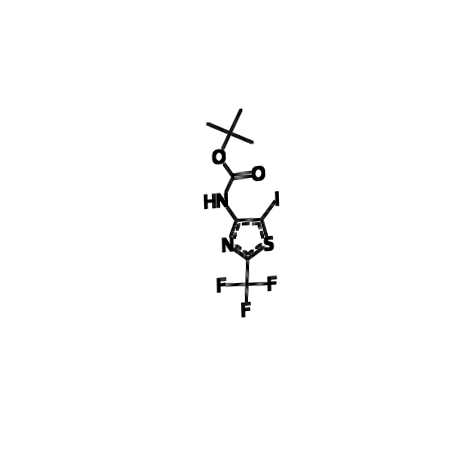 CC(C)(C)OC(=O)Nc1nc(C(F)(F)F)sc1I